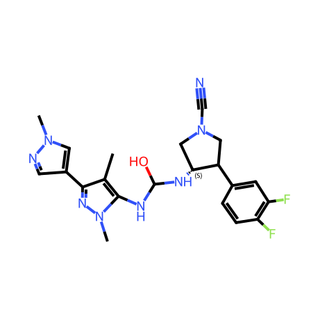 Cc1c(-c2cnn(C)c2)nn(C)c1NC(O)N[C@@H]1CN(C#N)CC1c1ccc(F)c(F)c1